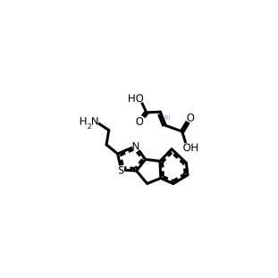 NCCc1nc2c(s1)Cc1ccccc1-2.O=C(O)/C=C/C(=O)O